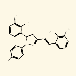 COc1cccc(C=CC2=NN(c3ccc(C(C)(C)C)cc3)C(c3cccc(OC)c3OC)C2)c1OC